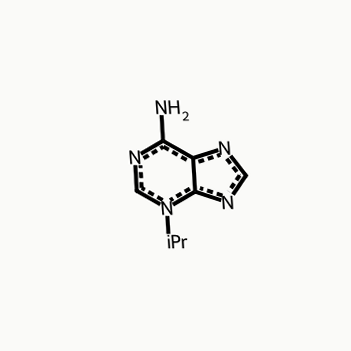 CC(C)n1cnc(N)c2ncnc1-2